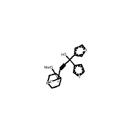 CO[C@]1(C#CC(O)(c2ccsc2)c2ccsc2)CN2CCC1CC2